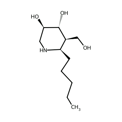 CCCCC[C@H]1NC[C@@H](O)[C@H](O)[C@H]1CO